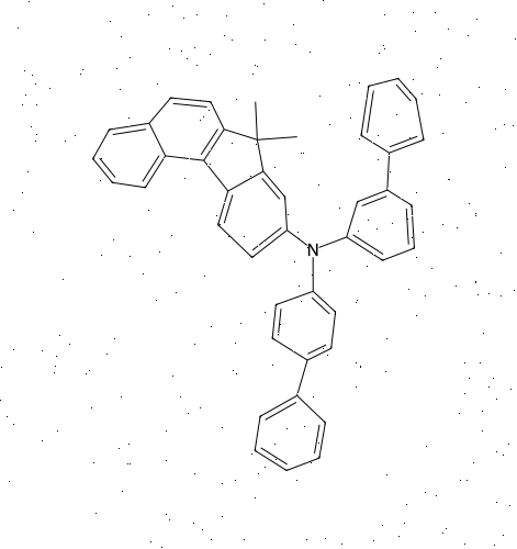 CC1(C)c2cc(N(c3ccc(-c4ccccc4)cc3)c3cccc(-c4ccccc4)c3)ccc2-c2c1ccc1ccccc21